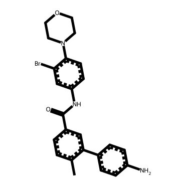 Cc1ccc(C(=O)Nc2ccc(N3CCOCC3)c(Br)c2)cc1-c1ccc(N)cc1